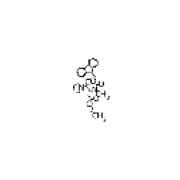 C=CCOC(=O)C[C@H](C(=O)N1CCCC1)N(C)C(=O)OCC1c2ccccc2-c2ccccc21